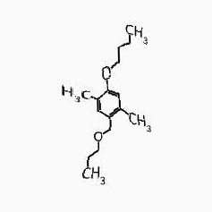 CCCCOc1cc(C)c(COCCC)cc1C